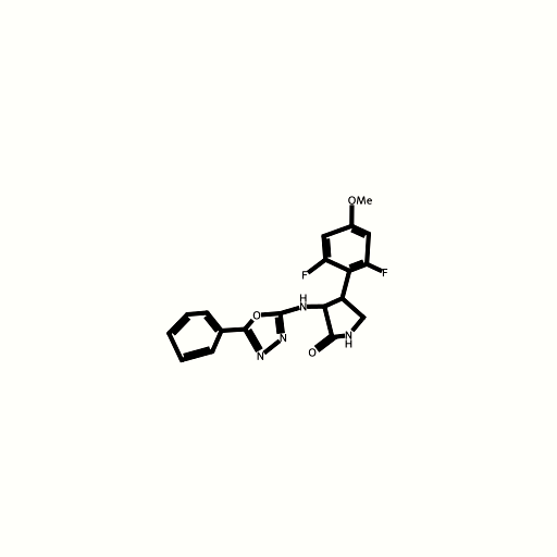 COc1cc(F)c(C2CNC(=O)C2Nc2nnc(-c3ccccc3)o2)c(F)c1